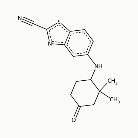 CC1(C)CC(=O)CCC1Nc1ccc2sc(C#N)nc2c1